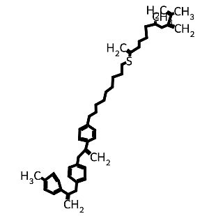 C=C(CCCCC(C)CC(=C)C(=C)C)SCCCCCCCCCc1ccc(C(=C)Cc2ccc(CC(=C)c3ccc(C)cc3)cc2)cc1